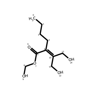 CCCCC(C(=O)OCO)=C(CO)CO